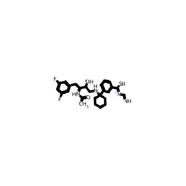 CC(=O)NC(Cc1cc(F)cc(F)c1)C(O)CNC1(c2cccc(/C(S)=N/C=N)c2)CCCCC1